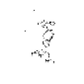 CC1=C(c2cn3ccc(OC(=O)O)cc3n2)C=CC(N)C1=NO